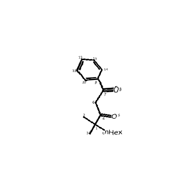 CCCCCCC(C)(C)C(=O)CC(=O)c1ccccc1